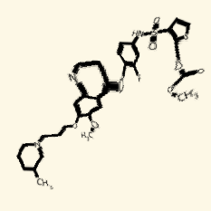 COC(=O)Oc1sccc1S(=O)(=O)Nc1ccc(Oc2ccnc3cc(OCCCN4CCCC(C)C4)c(OC)cc23)c(F)c1